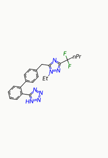 CCCC(F)(F)c1nc(Cc2ccc(-c3ccccc3-c3nnn[nH]3)cc2)n(CC)n1